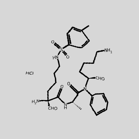 Cc1ccc(S(=O)(=O)NCCCC[C@](N)(C=O)C(=O)N[C@@H](C)C(=O)N(c2ccccc2)[C@H](C=O)CCCCN)cc1.Cl